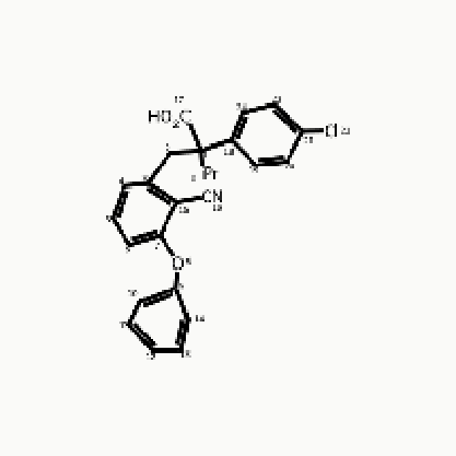 CC(C)C(Cc1cccc(Oc2ccccc2)c1C#N)(C(=O)O)c1ccc(Cl)cc1